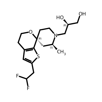 C[C@H]1C[C@@]2(CCN1C[C@@H](O)CO)OCCc1cc(CC(F)F)sc12